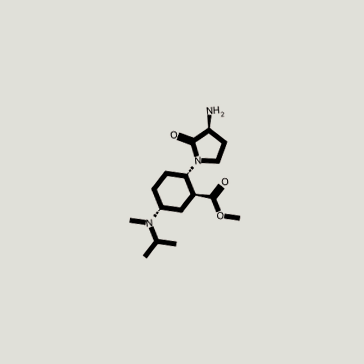 COC(=O)[C@H]1C[C@H](N(C)C(C)C)CC[C@@H]1N1CC[C@H](N)C1=O